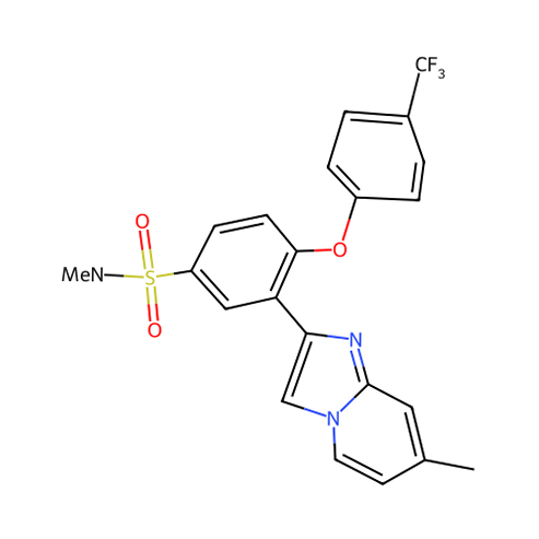 CNS(=O)(=O)c1ccc(Oc2ccc(C(F)(F)F)cc2)c(-c2cn3ccc(C)cc3n2)c1